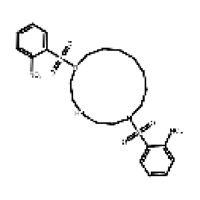 O=[N+]([O-])c1ccccc1S(=O)(=O)N1CCCCCCCN(S(=O)(=O)c2ccccc2[N+](=O)[O-])CCNCC1